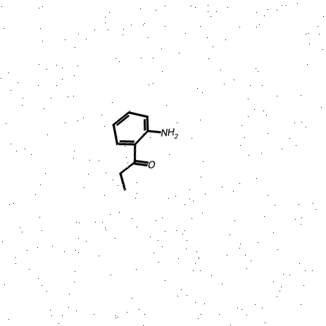 CCC(=O)c1ccccc1N